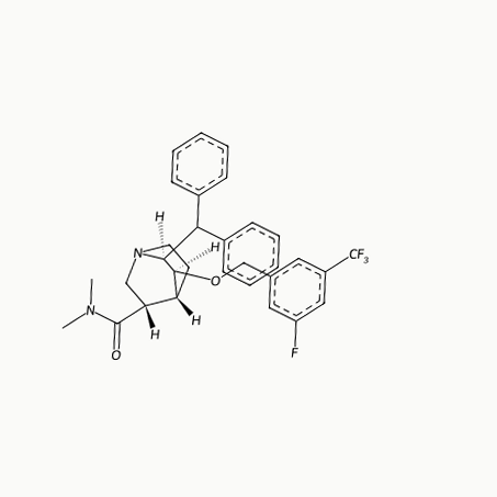 CN(C)C(=O)[C@@H]1CN2CC[C@H]1[C@H](OCc1cc(F)cc(C(F)(F)F)c1)[C@@H]2C(c1ccccc1)c1ccccc1